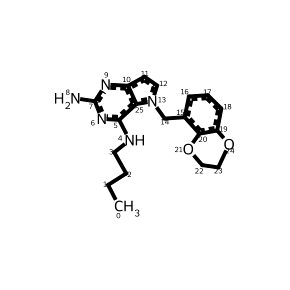 CCCCNc1nc(N)nc2ccn(Cc3cccc4c3OCCO4)c12